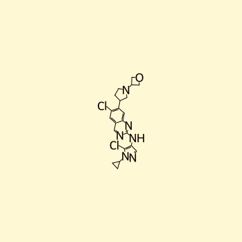 Clc1cc2cnc(Nc3cnn(C4CC4)c3Cl)nc2cc1C1CCN(C2COC2)C1